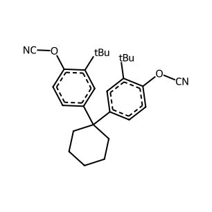 CC(C)(C)c1cc(C2(c3ccc(OC#N)c(C(C)(C)C)c3)CCCCC2)ccc1OC#N